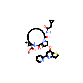 COC(=O)[C@@]12C[C@H]1/C=C\CCCCC[C@H](NC(=O)CC1CC1)C(=O)N1C[C@H](Oc3cc(-c4ccccn4)nc4ccsc34)C[C@H]1C(=O)N2